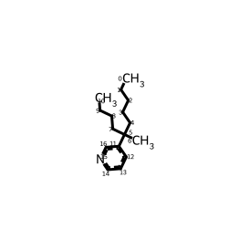 CCCCCC(C)(CCCC)c1cccnc1